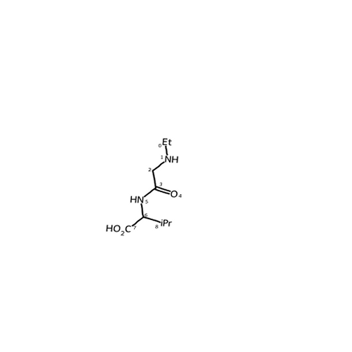 CCNCC(=O)NC(C(=O)O)C(C)C